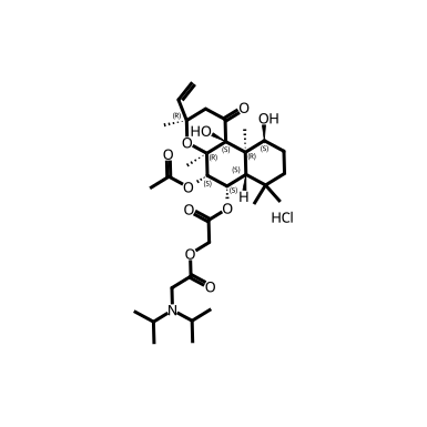 C=C[C@@]1(C)CC(=O)[C@]2(O)[C@@]3(C)[C@@H](O)CCC(C)(C)[C@@H]3[C@H](OC(=O)COC(=O)CN(C(C)C)C(C)C)[C@H](OC(C)=O)[C@@]2(C)O1.Cl